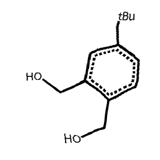 CC(C)(C)c1ccc(CO)c(CO)c1